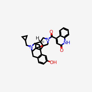 O=C(c1cc(=O)[nH]c2ccccc12)N1C[C@H]2CC34CCC1C2C31CCN(CC2CC2)C4Cc2ccc(O)cc21